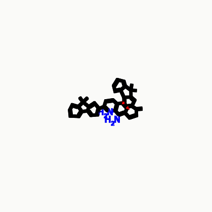 C=C(/C=C\c1ccc(/C=C\C(=C)c2ccc3c(c2)C(C)(C)c2ccccc2-3)c(N)c1N)c1ccc2c(c1)C(C)(C)c1ccccc1-2